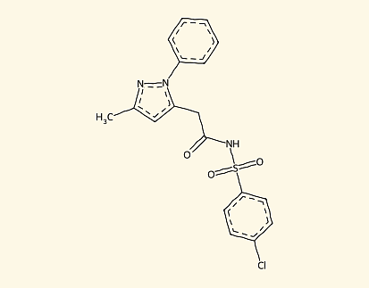 Cc1cc(CC(=O)NS(=O)(=O)c2ccc(Cl)cc2)n(-c2ccccc2)n1